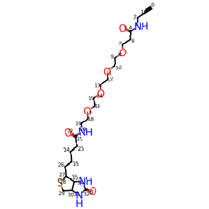 C#CCNC(=O)CCOCCOCCOCCOCCNC(=O)CCCCC1SCC2NC(=O)NC21